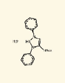 Br.CCCCCCC1=NN(c2ccccc2)NN1c1ccccc1